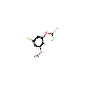 COc1cc(F)cc(OC(F)F)c1